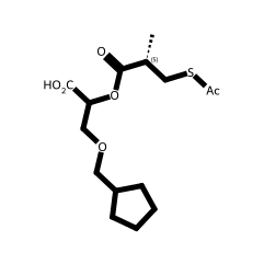 CC(=O)SC[C@@H](C)C(=O)OC(COCC1CCCC1)C(=O)O